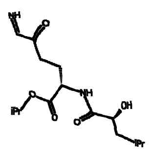 CC(C)C[C@H](O)C(=O)N[C@@H](CCC(=O)C=N)C(=O)OC(C)C